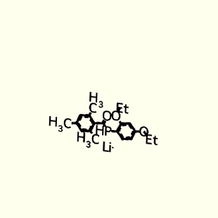 CCOc1ccc(PC(=O)c2c(C)cc(C)cc2C)c(OCC)c1.[Li]